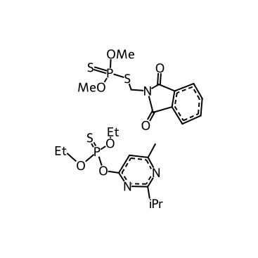 CCOP(=S)(OCC)Oc1cc(C)nc(C(C)C)n1.COP(=S)(OC)SCN1C(=O)c2ccccc2C1=O